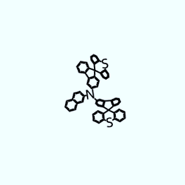 c1ccc2c(c1)Sc1ccccc1C21c2ccccc2-c2cc(N(c3ccc4c(c3)-c3ccccc3C43c4ccccc4Sc4ccccc43)c3ccc4ccccc4c3)ccc21